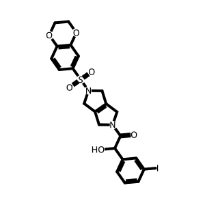 O=C(C(O)c1cccc(I)c1)N1CC2=C(C1)CN(S(=O)(=O)c1ccc3c(c1)OCCO3)C2